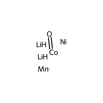 [LiH].[LiH].[Mn].[Ni].[O]=[Co]